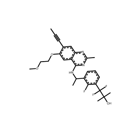 CC#Cc1cc2nc(C)nc(NC(C)c3cccc(C(F)(F)C(C)(C)O)c3F)c2cc1OCCOC